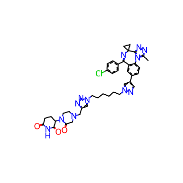 Cc1nnc2n1-c1ccc(-c3cnn(CCCCCCn4cc(CN5CCN(C6CCC(=O)NC6=O)C(=O)C5)nn4)c3)cc1C(c1ccc(Cl)cc1)=NC21CC1